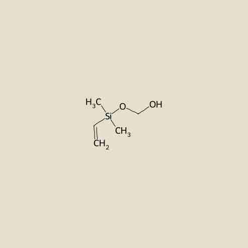 C=C[Si](C)(C)OCO